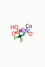 O=S(=O)(O)C(F)(F)F.[O-][NH2+][Co]